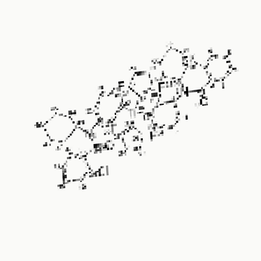 O=C(c1ccccc1Cl)N(c1ccc(F)[c]([Ti]([C]2=CC=CC2)([C]2=CC=CC2)[c]2c(F)ccc(N(C(=O)c3ccccc3Cl)C3CCCCC3)c2F)c1F)C1CCCCC1